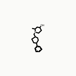 CC1CC(O)CCN1CC1CCC(c2ccccc2)CC1